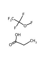 CCC(=O)O.FOC(F)(F)C(F)(F)F